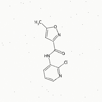 Cc1cc(C(=O)Nc2cccnc2Cl)no1